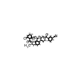 C[C@H](Cc1ccc(C2=CCN(C(=O)c3cccc(C#N)c3)CC2)c(C(=O)O)c1)NC(=O)c1c(Cl)cccc1Cl